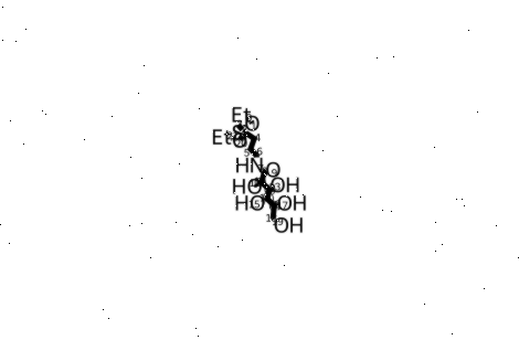 CCO[Si](C)(CCCNC(=O)[C@H](O)[C@@H](O)[C@H](O)[C@H](O)CO)OCC